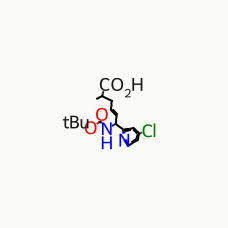 CC(C/C=C/C(NC(=O)OC(C)(C)C)c1cc(Cl)ccn1)C(=O)O